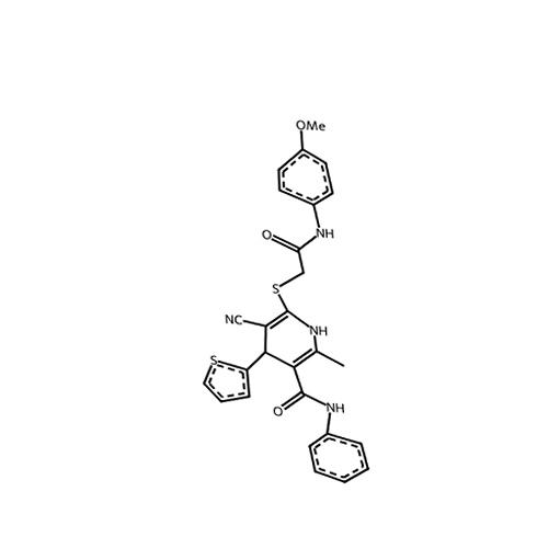 COc1ccc(NC(=O)CSC2=C(C#N)C(c3cccs3)C(C(=O)Nc3ccccc3)=C(C)N2)cc1